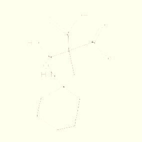 NC1(CC(C(=O)O)(C(=O)O)C(=O)O)CCCCC1